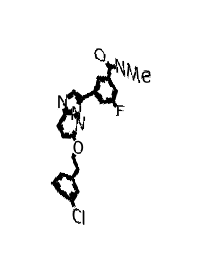 CNC(=O)c1cc(F)cc(-c2cnc3ccc(OCCc4cccc(Cl)c4)nn23)c1